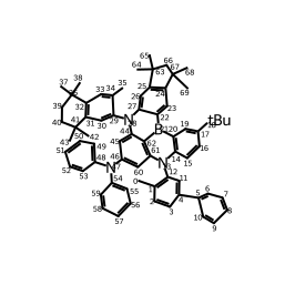 Cc1ccc(-c2ccccc2)cc1N1c2ccc(C(C)(C)C)cc2B2c3cc4c(cc3N(c3cc5c(cc3C)C(C)(C)CCC5(C)C)c3cc(N(c5ccccc5)c5ccccc5)cc1c32)C(C)(C)CC4(C)C